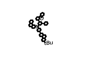 CC(C)(C)c1ccc2c(ccc3cc(-c4ccc(N(c5cc(-c6ccccc6)cc(-c6cccc7c6oc6ccccc67)c5)c5ccc6ccc7ccccc7c6c5)cc4)ccc32)c1